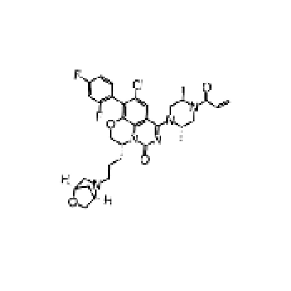 C=CC(=O)N1C[C@H](C)N(c2nc(=O)n3c4c(c(-c5ccc(F)cc5F)c(Cl)cc24)OC[C@H]3CCCN2C[C@H]3C[C@@H]2CO3)C[C@H]1C